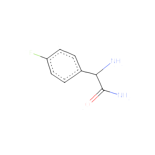 NC(=O)C(N)c1ccc(F)cc1